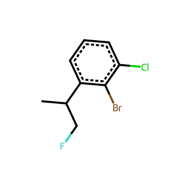 C[C](CF)c1cccc(Cl)c1Br